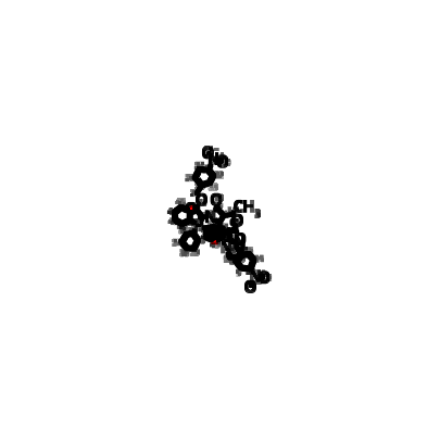 CC(OC(=O)OCc1ccc([N+](=O)[O-])cc1)C1C(=O)N(C(C(=O)OCc2ccc([N+](=O)[O-])cc2)=P(c2ccccc2)(c2ccccc2)c2ccccc2)C1C1(C(=S)c2ncccn2)CC1